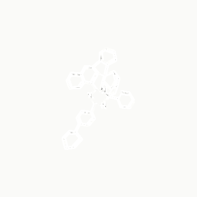 c1ccc(-c2ccc(-c3nc(-c4ccccc4)nc(-c4c5c(cc6ccccc46)-c4ccccc4C54C5CC6CC(C5)CC4C6)n3)cc2)cc1